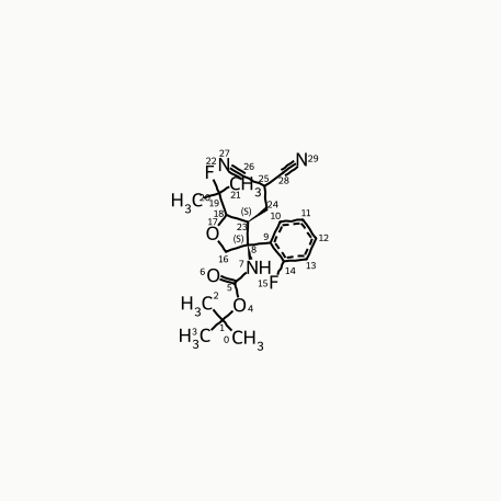 CC(C)(C)OC(=O)N[C@@]1(c2ccccc2F)COC(C(C)(C)F)[C@H]1CC(C#N)C#N